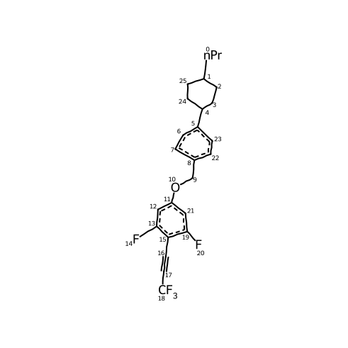 CCCC1CCC(c2ccc(COc3cc(F)c(C#CC(F)(F)F)c(F)c3)cc2)CC1